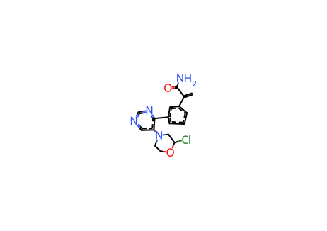 C=C(C(N)=O)c1cccc(-c2ncncc2N2CCOC(Cl)C2)c1